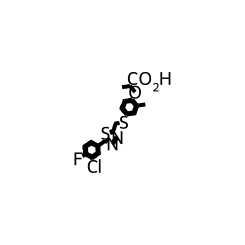 Cc1cc(SCc2nnc(-c3ccc(F)c(Cl)c3)s2)ccc1OC(C)C(=O)O